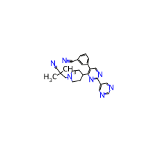 CC(C)(C#N)CN1CCC(c2nc(-c3cncnc3)ncc2-c2cccc(C#N)c2)CC1